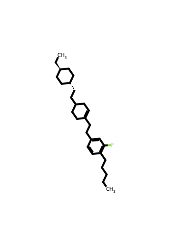 CCCCCc1ccc(CCC2=CCC(CC[C@H]3CC[C@H](CC)CC3)CC2)cc1F